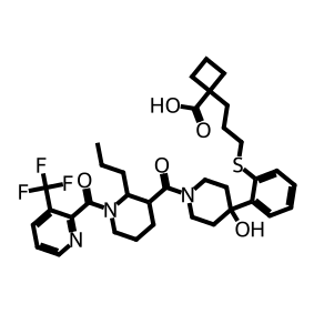 CCCC1C(C(=O)N2CCC(O)(c3ccccc3SCCCC3(C(=O)O)CCC3)CC2)CCCN1C(=O)c1ncccc1C(F)(F)F